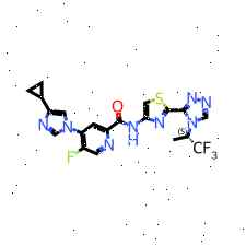 C[C@H](n1cnnc1-c1nc(NC(=O)c2cc(-n3cnc(C4CC4)c3)c(F)cn2)cs1)C(F)(F)F